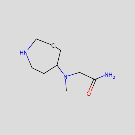 CN(CC(N)=O)C1CCCNCC1